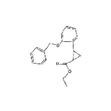 CCOC(=O)C1CC1c1ccccc1OCc1ccccc1